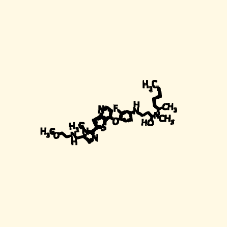 C/C=C\C=C/C(C)N(C)C(O)CCNc1ccc(Oc2ccnc3cc(-c4ncc(CNCCOC)n4C)sc23)c(F)c1